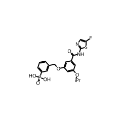 CC(C)Oc1cc(OCc2cccc(P(=O)(O)O)c2)cc(C(=O)Nc2ncc(F)s2)c1